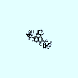 CC[C@@H](NC(=O)c1cn(-c2ncccc2Cl)c2nc(N3CC4CC4(O)C3)ccc2c1=O)C(F)(F)F